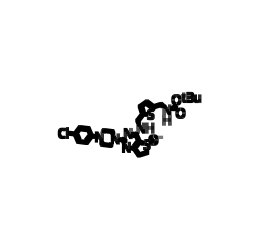 CC(C)(C)OC(=O)NCc1ccc(CNc2nc(N3CCN(c4ccc(Cl)cc4)CC3)nc3c2[S+]([O-])CC3)s1